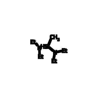 CCN(CC)[SiH](C)N(CC)CC